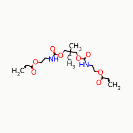 C=CC(=O)OCCNC(=O)OCC(C)(C)COC(=O)NCCOC(=O)C=C